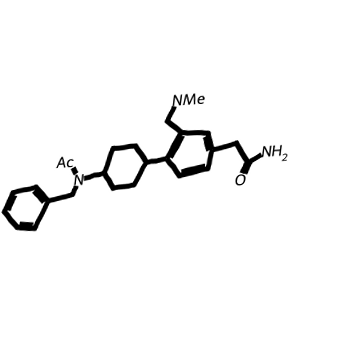 CNCc1cc(CC(N)=O)ccc1C1CCC(N(Cc2ccccc2)C(C)=O)CC1